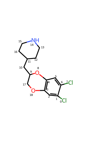 Clc1cc2c(cc1Cl)OC(CC1CCNCC1)CO2